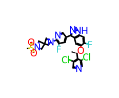 C[C@@H](Oc1cc2c(-c3cnc(N4CC5(C4)CN(S(C)(=O)=O)C5)c(F)c3)n[nH]c2cc1F)c1c(Cl)cncc1Cl